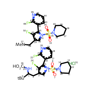 CC(C)(C)C(Cc1cn(S(=O)(=O)N2CCCCC2)c(-c2cccnc2F)c1F)NC(=O)O.CNCc1cn(S(=O)(=O)N2CCCCC2)c(-c2cccnc2F)c1F.Cl